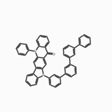 O=c1c2ccccc2n(-c2ccccc2)c2cc3c4ccccc4n(-c4cccc(-c5cccc(-c6cccc(-c7ccccc7)c6)c5)c4)c3cc12